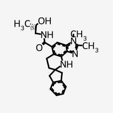 Cc1nc2c3c(c(C(=O)NC[C@H](C)O)cc2n1C)CCC1(Cc2ccccc2C1)N3